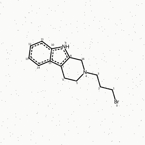 BrCCCN1CCc2c([nH]c3ccccc23)C1